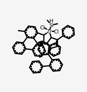 Cc1ccc2c(c1-c1ccccc1-c1ccccc1)C=C(c1ccccc1)[CH]2[Zr]([Cl])([Cl])([CH]1C(c2ccccc2)=Cc2c1ccc(C)c2-c1ccccc1-c1ccccc1)[SiH](C)C